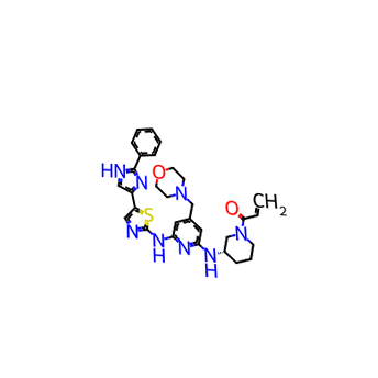 C=CC(=O)N1CCC[C@H](Nc2cc(CN3CCOCC3)cc(Nc3ncc(-c4c[nH]c(-c5ccccc5)n4)s3)n2)C1